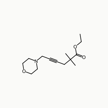 CCOC(=O)C(C)(C)CC#CCN1CCOCC1